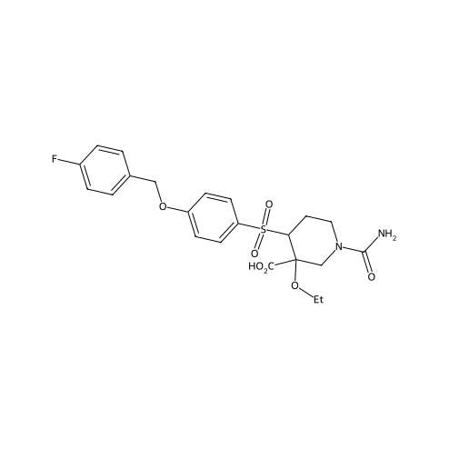 CCOC1(C(=O)O)CN(C(N)=O)CCC1S(=O)(=O)c1ccc(OCc2ccc(F)cc2)cc1